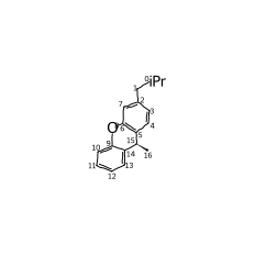 CC(C)Cc1ccc2c(c1)Oc1ccccc1[C@@H]2C